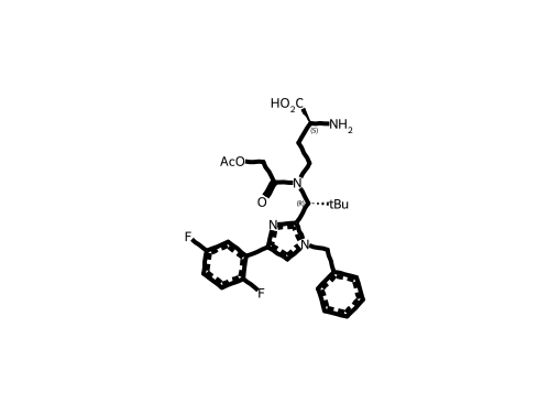 CC(=O)OCC(=O)N(CC[C@H](N)C(=O)O)[C@@H](c1nc(-c2cc(F)ccc2F)cn1Cc1ccccc1)C(C)(C)C